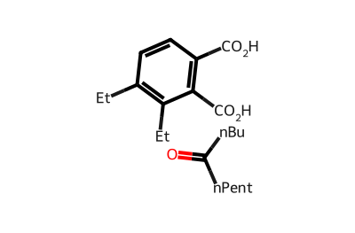 CCCCCC(=O)CCCC.CCc1ccc(C(=O)O)c(C(=O)O)c1CC